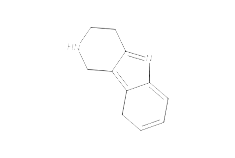 [CH]1NCCC2=NC3=CC=CCC3=C12